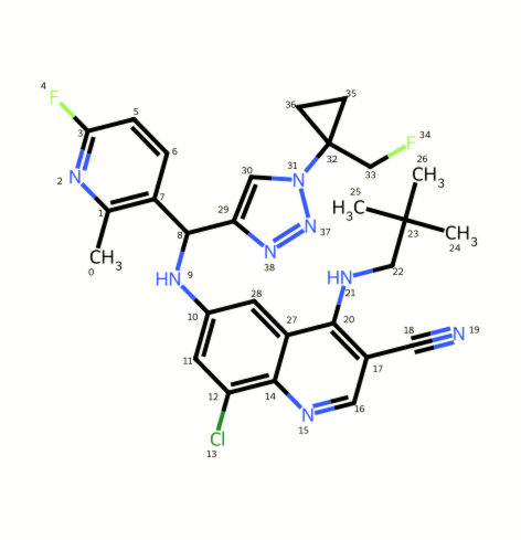 Cc1nc(F)ccc1C(Nc1cc(Cl)c2ncc(C#N)c(NCC(C)(C)C)c2c1)c1cn(C2(CF)CC2)nn1